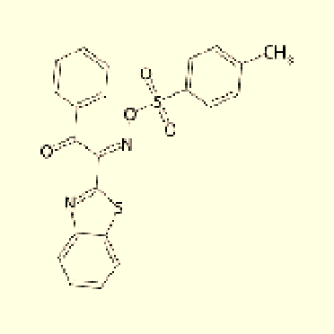 Cc1ccc(S(=O)(=O)O/N=C(\C(=O)c2ccccc2)c2nc3ccccc3s2)cc1